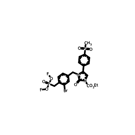 CCOC(=O)n1cc(-c2ccc(S(C)(=O)=O)cc2)n(Cc2ccc(CP(=O)(OF)OF)c(Br)c2)c1=O